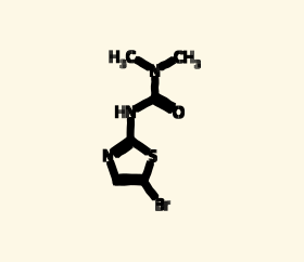 CN(C)C(=O)Nc1ncc(Br)s1